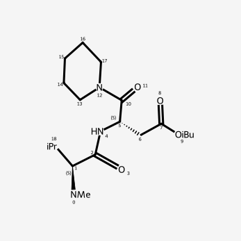 CN[C@H](C(=O)N[C@@H](CC(=O)OCC(C)C)C(=O)N1CCCCC1)C(C)C